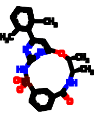 Cc1cccc(C)c1-c1cc2nc(n1)NS(=O)(=O)c1cccc(c1)C(=O)N[C@H](C)[C@H](C)O2